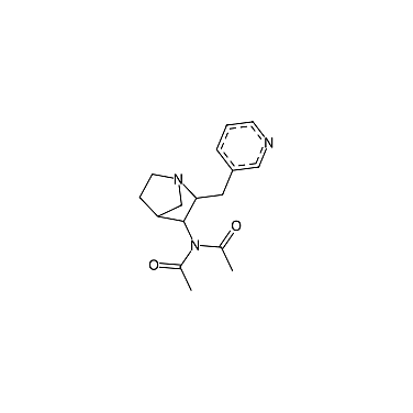 CC(=O)N(C(C)=O)C1C2CCN(C2)C1Cc1cccnc1